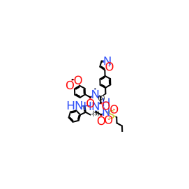 CCCCS(=O)(=O)NC(=O)[C@H](Cc1c[nH]c2ccccc12)NC(=O)[C@H](Cc1ccc(-c2ccno2)cc1)N(C)C(=O)c1ccc2c(c1)OCO2